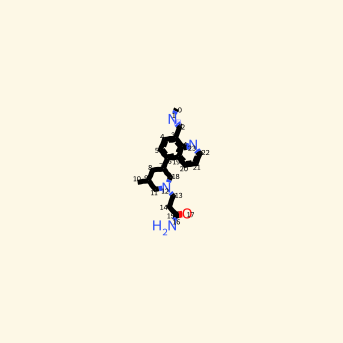 C/N=C/c1ccc(C2CC(C)CN(CCC(N)=O)C2)c2cccnc12